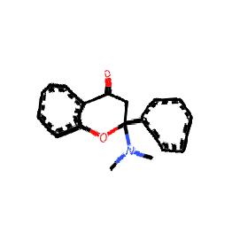 CN(C)C1(c2ccccc2)CC(=O)c2ccccc2O1